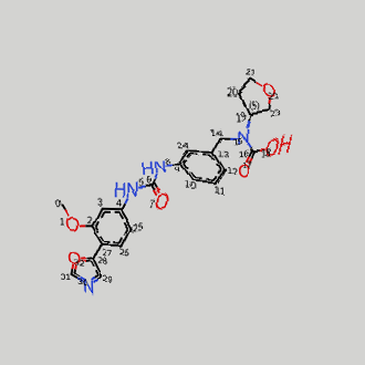 COc1cc(NC(=O)Nc2cccc(CN(C(=O)O)[C@H]3CCOC3)c2)ccc1-c1cnco1